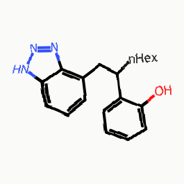 CCCCCCC(Cc1cccc2[nH]nnc12)c1ccccc1O